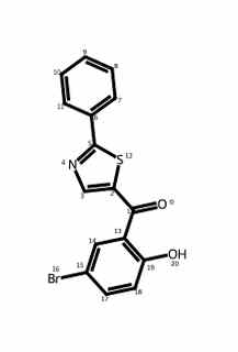 O=C(c1cnc(-c2ccccc2)s1)c1cc(Br)ccc1O